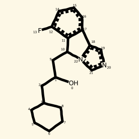 OC(CC1CCCCC1)CC1c2c(F)cccc2-c2cncn21